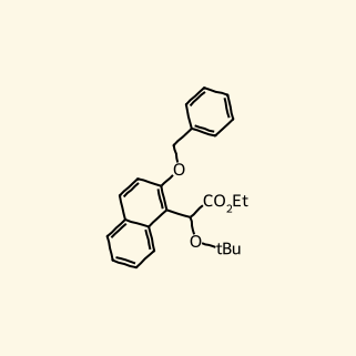 CCOC(=O)C(OC(C)(C)C)c1c(OCc2ccccc2)ccc2ccccc12